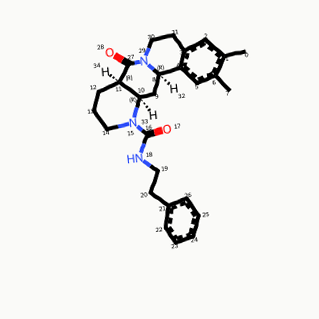 Cc1cc2c(cc1C)[C@H]1C[C@@H]3[C@@H](CCCN3C(=O)NCCc3ccccc3)C(=O)N1CC2